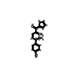 C=C(/C=N\N(N)c1ccc(Cl)cc1)C(=O)c1cccs1